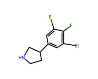 CCc1cc(C2CCNC2)cc(F)c1F